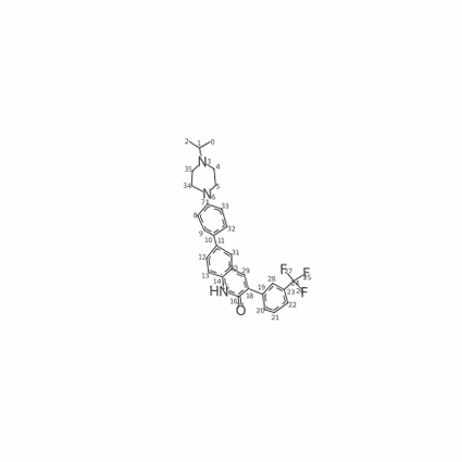 CC(C)N1CCN(c2ccc(-c3ccc4[nH]c(=O)c(-c5cccc(C(F)(F)F)c5)cc4c3)cc2)CC1